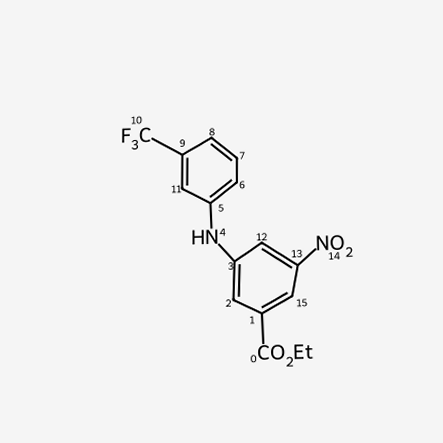 CCOC(=O)c1cc(Nc2cccc(C(F)(F)F)c2)cc([N+](=O)[O-])c1